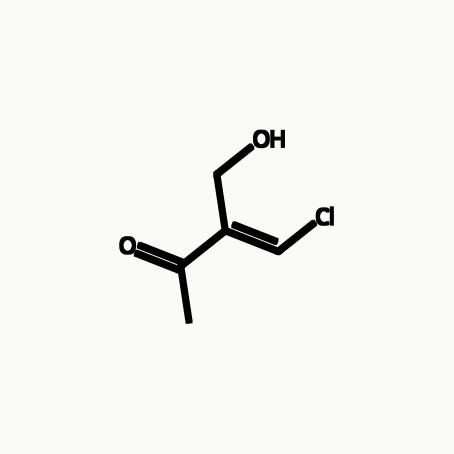 CC(=O)C(=CCl)CO